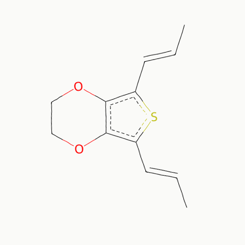 C/C=C/c1sc(/C=C/C)c2c1OCCO2